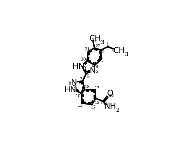 CCc1cc2nc(-c3n[nH]c4ccc(C(N)=O)cc34)[nH]c2cc1C